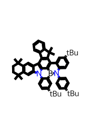 CC(C)(C)c1ccc(N2B3c4cc(C(C)(C)C)ccc4-n4c5cc6c(cc5c5c7c(c(c3c54)-c3cc(C(C)(C)C)ccc32)C(C)(C)c2ccccc2-7)C(C)(C)CCC6(C)C)cc1